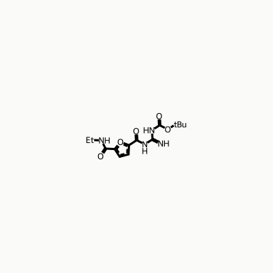 CCNC(=O)c1ccc(C(=O)NC(=N)NC(=O)OC(C)(C)C)o1